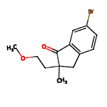 COCCC1(C)Cc2ccc(Br)cc2C1=O